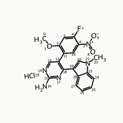 COc1cc(F)c([N+](=O)[O-])cc1-c1cnc(N)nc1-c1cn(C)c2ccccc12.Cl